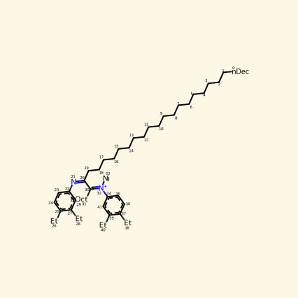 CCCCCCCCCCCCCCCCCCCCCCCCCCCCCC(=Nc1ccc(CC)c(CC)c1)C(CCCCCCCC)=[N+]([Ni])c1ccc(CC)c(CC)c1